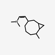 CC1CCCC(/C=C\N(C)C)CC2CC12